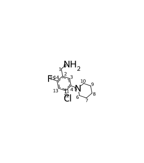 NCc1cc(N2CCCCC2)c(Cl)cc1F